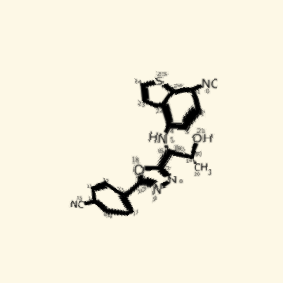 [C-]#[N+]c1ccc(N[C@@H](c2nnc(-c3ccc(C#N)cc3)o2)[C@@H](C)O)c2ccsc12